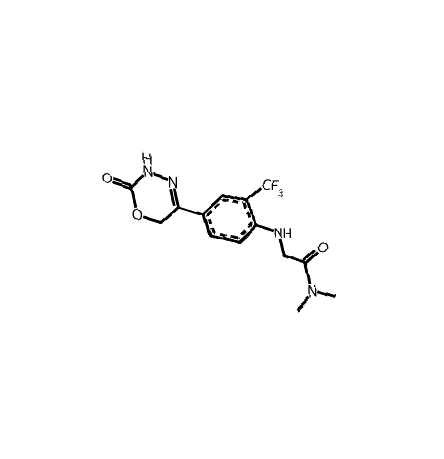 CN(C)C(=O)CNc1ccc(C2=NNC(=O)OC2)cc1C(F)(F)F